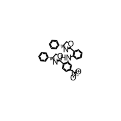 O=[N+]([O-])c1ccc(C2=N[C@H](c3ccccc3)CO2)c(Nc2ccccc2C2=N[C@H](c3ccccc3)CO2)c1